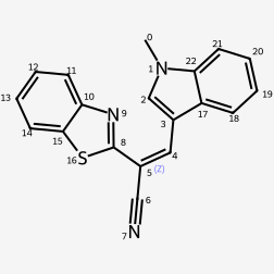 Cn1cc(/C=C(/C#N)c2nc3ccccc3s2)c2ccccc21